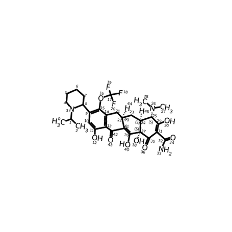 CC(C)N1CCCCC1c1cc(O)c2c(c1OC(F)(F)F)C[C@H]1C[C@H]3[C@H](N(C)C)C(O)=C(C(N)=O)C(=O)[C@@]3(O)C(O)=C1C2=O